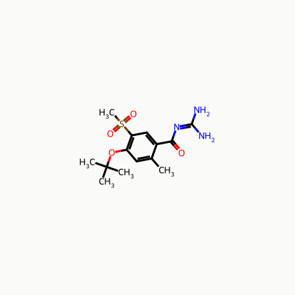 Cc1cc(OC(C)(C)C)c(S(C)(=O)=O)cc1C(=O)N=C(N)N